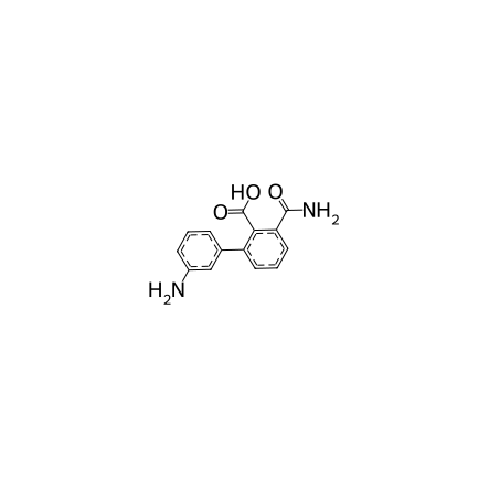 NC(=O)c1cccc(-c2cccc(N)c2)c1C(=O)O